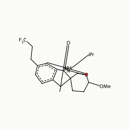 COC1CCC2(CC1)Cc1ccc(CCC(F)(F)F)cc1C21NC(=O)N(C(C)C)C1=O